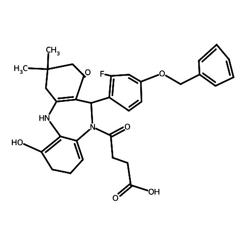 CC1(C)CC(=O)C2=C(C1)NC1=C(O)CCC=C1N(C(=O)CCC(=O)O)C2c1ccc(OCc2ccccc2)cc1F